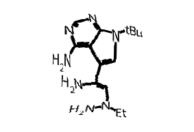 CCN(N)/C=C(\N)c1cn(C(C)(C)C)c2ncnc(N)c12